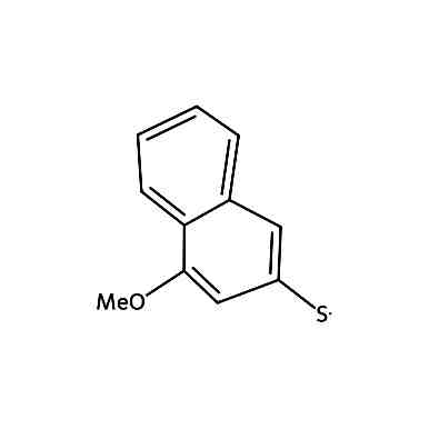 COc1cc([S])cc2ccccc12